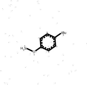 CC(C)(C)c1ccc(O[SiH3])cc1